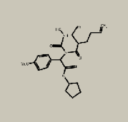 C=CCCC(CC(C)C)C(=O)N(C(=O)NO)C(C(=O)OC1CCCC1)c1ccc(OC)cc1